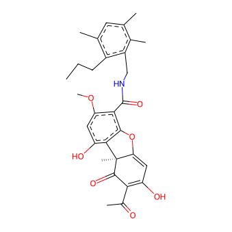 CCCc1c(C)cc(C)c(C)c1CNC(=O)c1c(OC)cc(O)c2c1OC1=CC(O)=C(C(C)=O)C(=O)[C@]12C